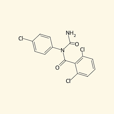 NC(=O)N(C(=O)c1c(Cl)cccc1Cl)c1ccc(Cl)cc1